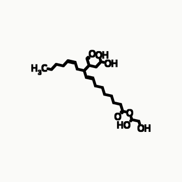 CCCC/C=C\CC(/C=C/CCCCCCC(=O)OC(O)CO)C(C=O)CC(O)O